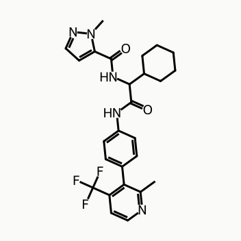 Cc1nccc(C(F)(F)F)c1-c1ccc(NC(=O)C(NC(=O)c2ccnn2C)C2CCCCC2)cc1